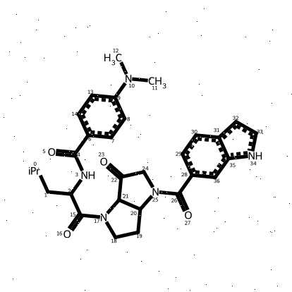 CC(C)CC(NC(=O)c1ccc(N(C)C)cc1)C(=O)N1CCC2C1C(=O)CN2C(=O)c1ccc2cc[nH]c2c1